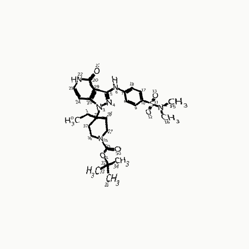 CCC1(n2nc(Nc3ccc(S(=O)(=O)N(C)C)cc3)c3c(=O)[nH]ccc32)CCN(C(=O)OC(C)(C)C)CC1